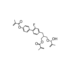 C=C(C)C(=O)OCC(COC(O)C(=C)C)Cc1ccc(-c2ccc(OC(=O)C(=C)C)cc2)c(F)c1